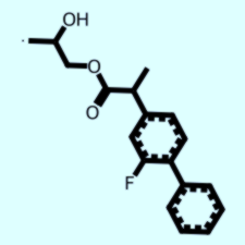 [CH2]C(O)COC(=O)C(C)c1ccc(-c2ccccc2)c(F)c1